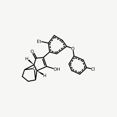 CCc1ccc(Oc2cccc(Cl)c2)cc1C1=C(O)[C@@H]2C3CCC(O3)[C@@H]2C1=O